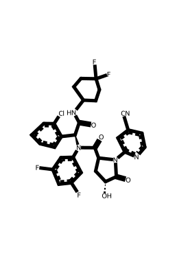 N#Cc1ccnc(N2C(=O)[C@H](O)CC2C(=O)N(c2cc(F)cc(F)c2)[C@H](C(=O)NC2CCC(F)(F)CC2)c2ccccc2Cl)c1